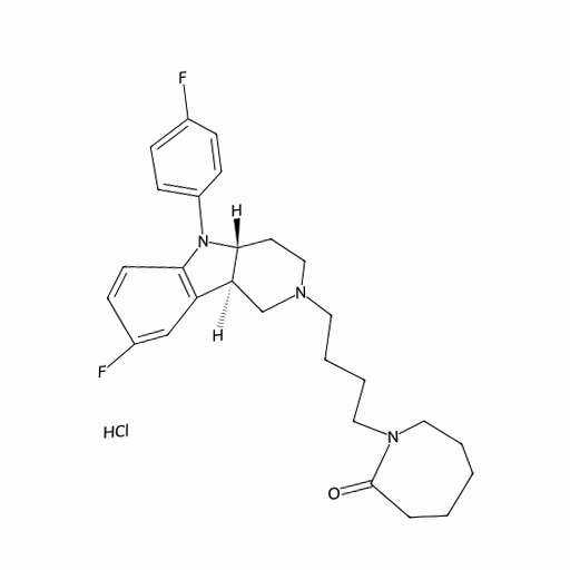 Cl.O=C1CCCCCN1CCCCN1CC[C@@H]2[C@@H](C1)c1cc(F)ccc1N2c1ccc(F)cc1